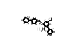 Nc1c(OCc2ccc(-c3ccccc3)cc2)cc(Cl)cc1-c1ccccc1